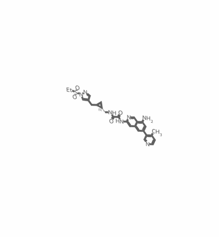 CCS(=O)(=O)n1cc(CC2C[C@@H]2CNC(=O)C(=O)Nc2cc3cc(-c4cnccc4C)cc(N)c3cn2)cn1